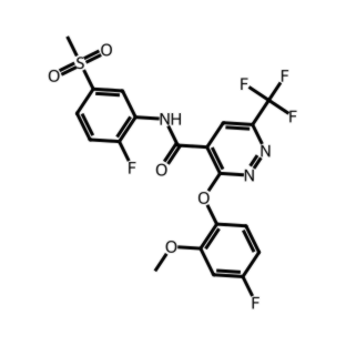 COc1cc(F)ccc1Oc1nnc(C(F)(F)F)cc1C(=O)Nc1cc(S(C)(=O)=O)ccc1F